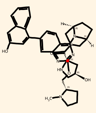 CN1CCC[C@H]1COc1nc(N2[C@@H]3CC[C@H]2CN(C(=O)[C@@H]2C[C@@H](O)CN2)C3)c2ccc(-c3cc(O)cc4ccccc34)cc2n1